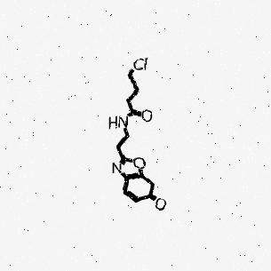 O=C1C=Cc2nc(CCNC(=O)CCCCl)oc2C1